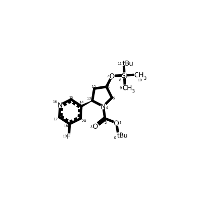 CC(C)(C)OC(=O)N1CC(O[Si](C)(C)C(C)(C)C)C[C@@H]1c1cncc(F)c1